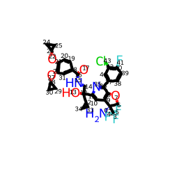 N[C@@]1(C(F)(F)F)COc2c1cc(C(O)(CNC(=O)c1ccc(OC3CC3)c(OC3CC3)c1)C1CC1)nc2-c1ccc(F)c(Cl)c1